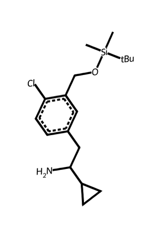 CC(C)(C)[Si](C)(C)OCc1cc(CC(N)C2CC2)ccc1Cl